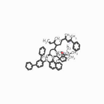 C=CC(=C)C(CCC(=C)/C=C(\C)c1ccccc1)C(CC(=C)N(CC1(C)C=CC[C@H]1C)c1c(Nc2ccc(-c3ccccc3)cc2-c2ccccc2)ccc2ccccc12)[N+](=C)/C=C(\C)[Si](C)(C)C